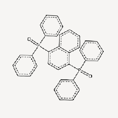 O=P(c1ccccc1)(c1ccccc1)c1ccc(P(=O)(c2ccccc2)c2ccccc2)c2ccccc12